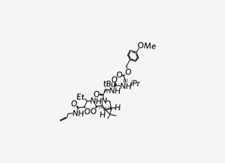 C=CCNC(=O)C(=O)C(CC)NC(=O)[C@@H]1[C@@H]2[C@H](CN1C(=O)[C@@H](NC(=O)N[C@H](C(=O)OCc1ccc(OC)cc1)C(C)C)C(C)(C)C)C2(C)C